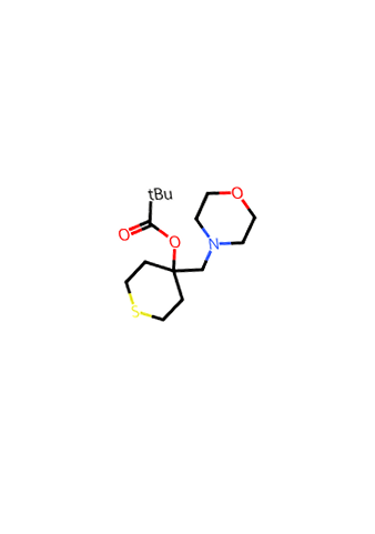 CC(C)(C)C(=O)OC1(CN2CCOCC2)CCSCC1